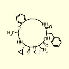 C[C@@H]1CN[C@@H](C2CC2)C(=O)N(C)[C@H](C)C(=O)N[C@H](Cc2ccccc2)C(=O)NCCCc2ccccc2O1